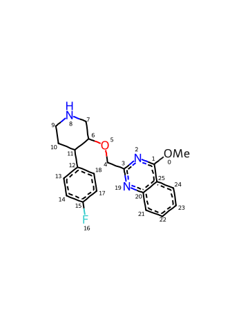 COc1nc(COC2CNCCC2c2ccc(F)cc2)nc2ccccc12